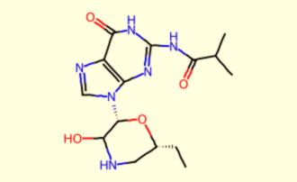 CC[C@@H]1CNC(O)[C@H](n2cnc3c(=O)[nH]c(NC(=O)C(C)C)nc32)O1